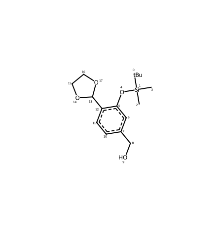 CC(C)(C)[Si](C)(C)Oc1cc(CO)ccc1C1OCCO1